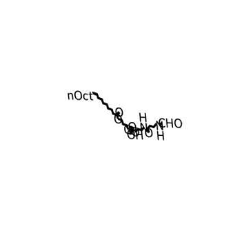 CCCCCCCC/C=C\CCCCCCCC(=O)OCCCOP(=O)(O)OCCNC(=O)CCCNC=O